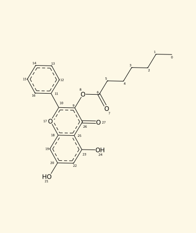 CCCCCCC(=O)Oc1c(-c2ccccc2)oc2cc(O)cc(O)c2c1=O